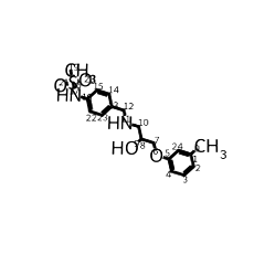 Cc1cccc(OCC(O)CNCc2ccc(NS(C)(=O)=O)cc2)c1